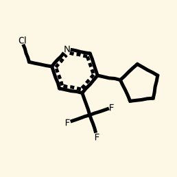 FC(F)(F)c1cc(CCl)ncc1C1CCCC1